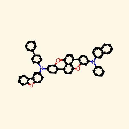 c1ccc(-c2ccc(N(c3ccc4c(c3)Oc3ccc5c6c(ccc-4c36)Oc3cc(N(c4ccccc4)c4ccc6ccccc6c4)ccc3-5)c3ccc4oc5ccccc5c4c3)cc2)cc1